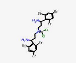 CCc1cc(CC)c(C(N)CC[N](CCC(N)c2c(CC)cc(CC)cc2CC)[Co]([Cl])[Cl])c(CC)c1